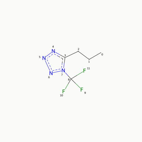 CCCc1nnnn1C(F)(F)F